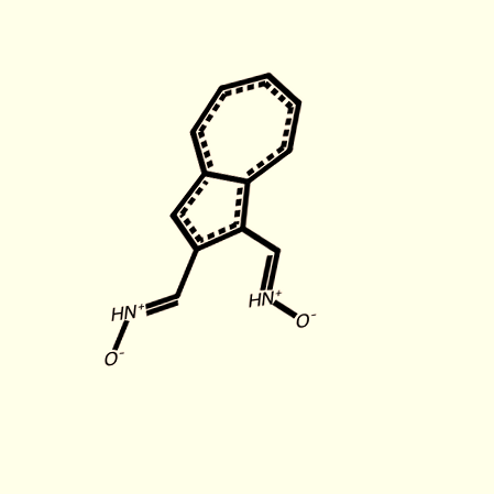 [O-][NH+]=Cc1cc2cccccc-2c1C=[NH+][O-]